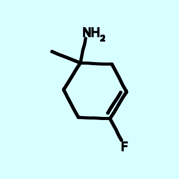 CC1(N)CC=C(F)CC1